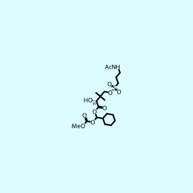 COC(=O)OC(OC(=O)[C@H](O)C(C)(C)COS(=O)(=O)CCCNC(C)=O)C1CCCCC1